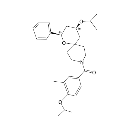 Cc1cc(C(=O)N2CCC3(CC2)C[C@H](OC(C)C)C[C@H](c2ccccc2)O3)ccc1OC(C)C